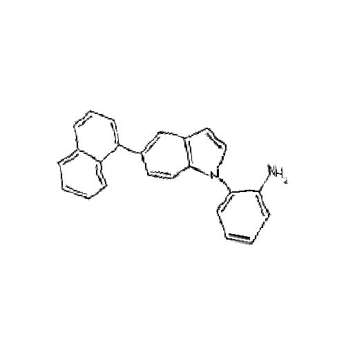 Nc1ccccc1-n1ccc2cc(-c3cccc4ccccc34)ccc21